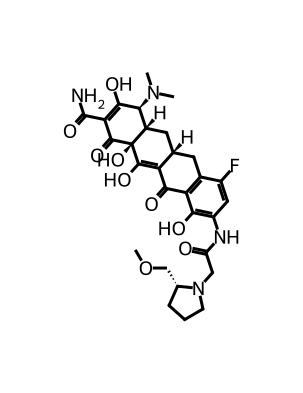 COC[C@H]1CCCN1CC(=O)Nc1cc(F)c2c(c1O)C(=O)C1=C(O)[C@]3(O)C(=O)C(C(N)=O)=C(O)[C@@H](N(C)C)[C@@H]3C[C@@H]1C2